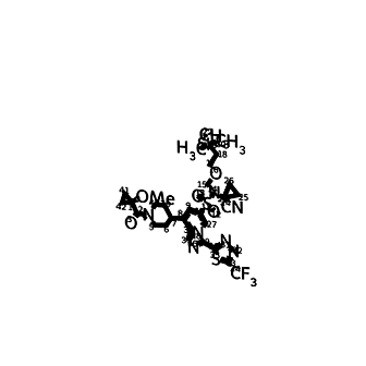 COC1(C(=O)N2CCC(c3cc(S(=O)(=O)N(COCC[Si](C)(C)C)C4(C#N)CC4)cn4c(-c5nnc(C(F)(F)F)s5)ncc34)CC2)CC1